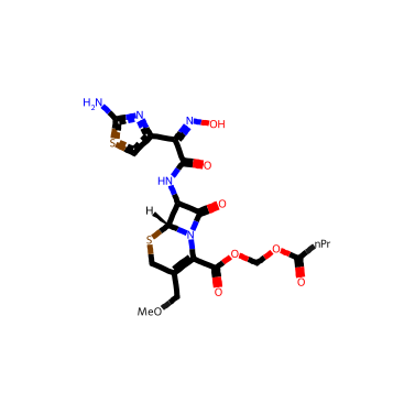 CCCC(=O)OCOC(=O)C1=C(COC)CS[C@@H]2C(NC(=O)/C(=N\O)c3csc(N)n3)C(=O)N12